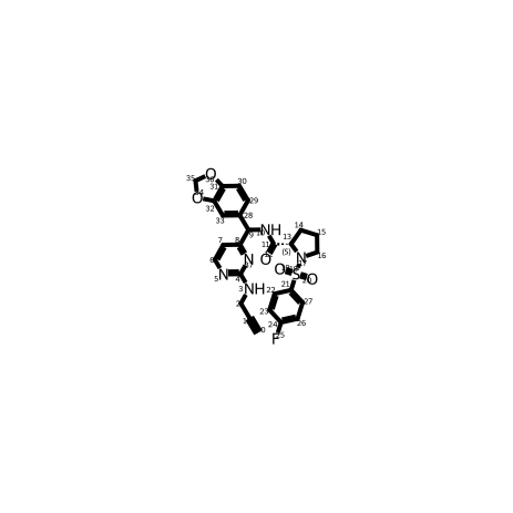 C#CCNc1nccc(C(NC(=O)[C@@H]2CCCN2S(=O)(=O)c2ccc(F)cc2)c2ccc3c(c2)OCO3)n1